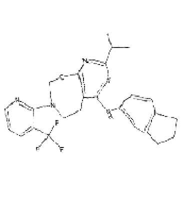 CC(C)c1nc2c(c(Nc3ccc4c(c3)CCC4)n1)CCN(c1ncccc1C(F)(F)F)CC2